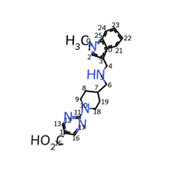 Cn1cc(CNCC2CCN(c3ncc(C(=O)O)cn3)CC2)c2ccccc21